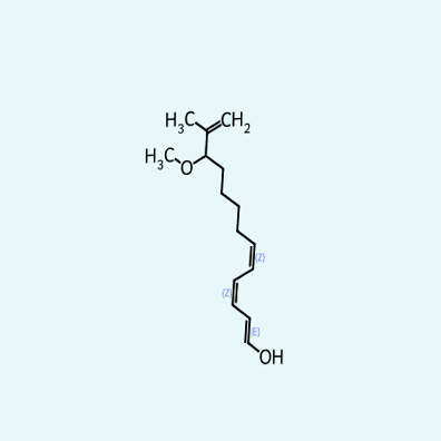 C=C(C)C(CCCC\C=C/C=C\C=C\O)OC